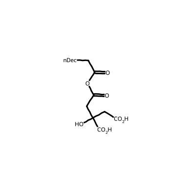 CCCCCCCCCCCC(=O)OC(=O)CC(O)(CC(=O)O)C(=O)O